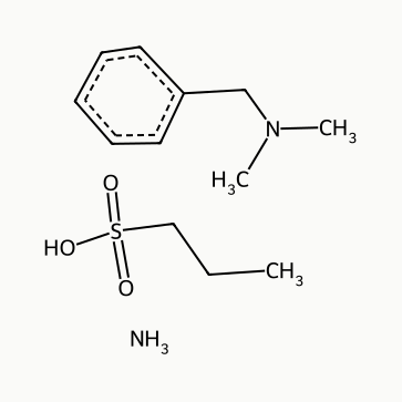 CCCS(=O)(=O)O.CN(C)Cc1ccccc1.N